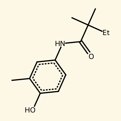 CCC(C)(C)C(=O)Nc1ccc(O)c(C)c1